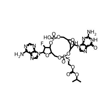 CC(C)OC(=O)OCSP1(=O)OCC2OC(n3cnc4c(N)ncnc43)C(F)C2OP(=O)(O)OCC2OC(n3cnc4c(=O)[nH]c(N)nc43)C(O1)C2O